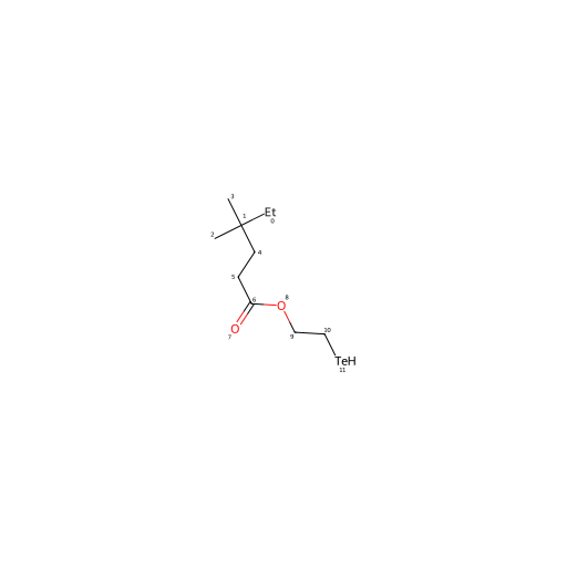 CCC(C)(C)CCC(=O)OCC[TeH]